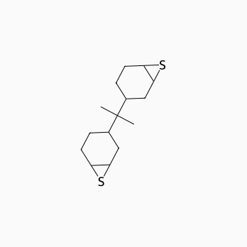 CC(C)(C1CCC2SC2C1)C1CCC2SC2C1